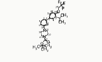 CC(C)c1cc(-c2cccc(N3CCN(C(=O)OC(C)(C)C)CC3)n2)ccc1OCC(F)(F)F